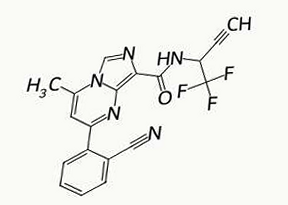 C#CC(NC(=O)c1ncn2c(C)cc(-c3ccccc3C#N)nc12)C(F)(F)F